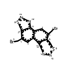 Brc1cc2c(cc(Br)c3snnc32)c2nnsc12